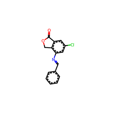 O=C1OCc2c(/N=C/c3ccccc3)cc(Cl)cc21